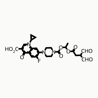 CC(OC(=O)CC(C=O)C=O)OC(=O)N1CCN(c2cc3c(cc2F)c(=O)c(C(=O)O)cn3C2CC2)CC1